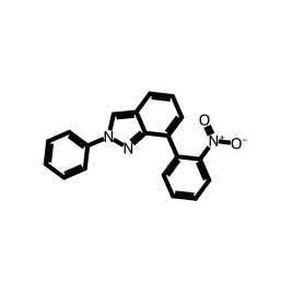 O=[N+]([O-])c1ccccc1-c1cccc2cn(-c3ccccc3)nc12